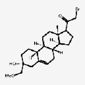 COC[C@@]1(O)CC[C@H]2C(=CC[C@@H]3[C@@H]2CC[C@]2(C)[C@@H](C(=O)CBr)CC[C@@H]32)C1